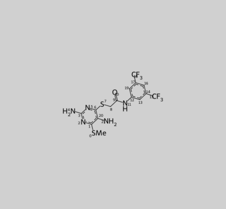 CSc1nc(N)nc(SCC(=O)Nc2cc(C(F)(F)F)cc(C(F)(F)F)c2)c1N